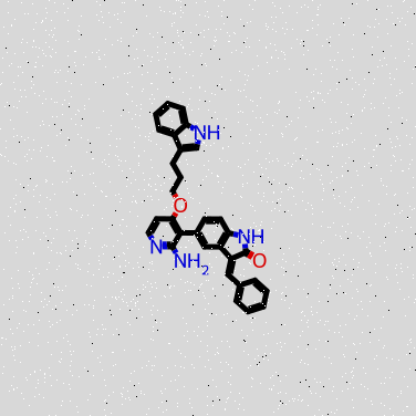 Nc1nccc(OCCCc2c[nH]c3ccccc23)c1-c1ccc2c(c1)C(=Cc1ccccc1)C(=O)N2